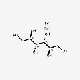 OC[C@@H](O)[C@@H](O)[C@H](O)[C@H](O)CO.[Br-].[Na+]